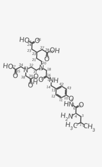 CC(C)C[C@@H](N)C(=O)NOc1ccc(CNC(=O)CN(CCC(CC(=O)O)CC(=O)O)CCN(CC(=O)O)CC(=O)O)cc1